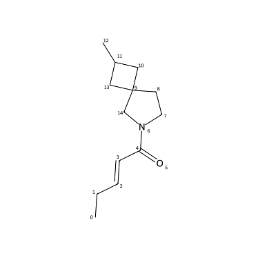 CC/C=C/C(=O)N1CCC2(CC(C)C2)C1